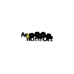 CCCCCCCCC1(CCCCCCCC)c2cc(-c3ccc(C)cc3)ccc2-c2ccc(-c3ccc(SC(C)=O)cc3)cc21